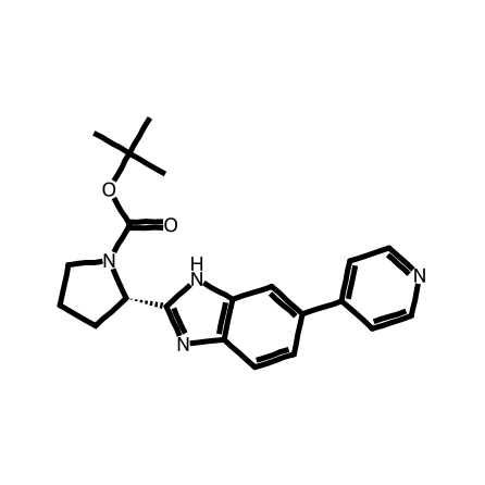 CC(C)(C)OC(=O)N1CCC[C@H]1c1nc2ccc(-c3ccncc3)cc2[nH]1